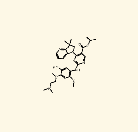 COc1cc(N(C)CCN(C)C)c(N)cc1Nc1ncc(C(=O)OC(C)C)c(N2CC(C)(C)c3ncccc32)n1